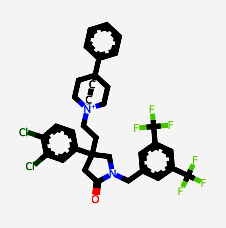 O=C1CC(CC[N+]23CCC(c4ccccc4)(CC2)CC3)(c2ccc(Cl)c(Cl)c2)CN1Cc1cc(C(F)(F)F)cc(C(F)(F)F)c1